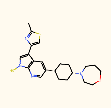 Cc1nc(-c2cn(S)c3ncc([C@H]4CC[C@@H](N5CCCOCC5)CC4)cc23)cs1